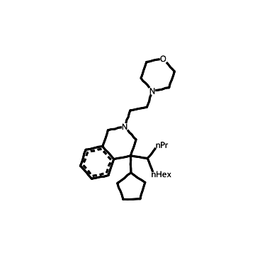 CCCCCCC(CCC)C1(C2CCCC2)CN(CCN2CCOCC2)Cc2ccccc21